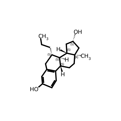 CCC[C@H]1Cc2cc(O)ccc2[C@H]2CC[C@]3(C)C[C@@H](O)C[C@H]3[C@H]12